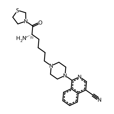 N#Cc1cnc(N2CCN(CCCC[C@H](N)C(=O)N3CCSC3)CC2)c2ccccc12